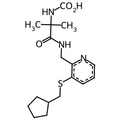 CC(C)(NC(=O)O)C(=O)NCc1ncccc1SCC1CCCC1